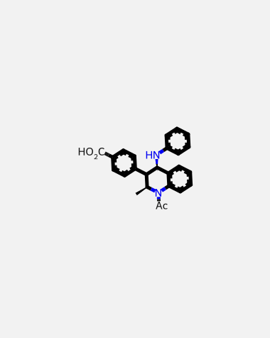 CC(=O)N1c2ccccc2[C@H](Nc2ccccc2)C(c2ccc(C(=O)O)cc2)[C@@H]1C